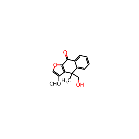 CC1(CO)c2ccccc2C(=O)c2occ(C=O)c21